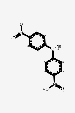 O=[N+]([O-])c1ccc(Oc2ccc([N+](=O)[O-])cc2)cc1.[Na]